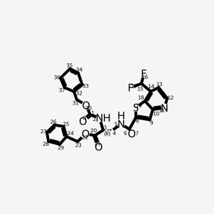 O=C(N[C@H](CNC(=O)c1cc2nccc(C(F)F)c2s1)C(=O)OCc1ccccc1)OCc1ccccc1